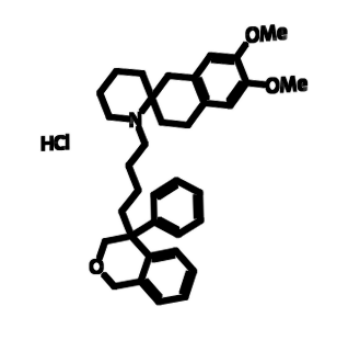 COc1cc2c(cc1OC)CC1(CCCCN1CCCCC1(c3ccccc3)COCc3ccccc31)CC2.Cl